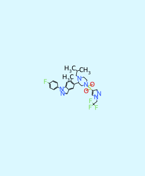 Cc1cc2c(cnn2-c2ccc(F)cc2)cc1C1CN(S(=O)(=O)c2cnn(CC(F)(F)F)c2)CCN1CC(C)C